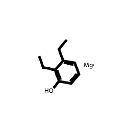 CCc1cccc(O)c1CC.[Mg]